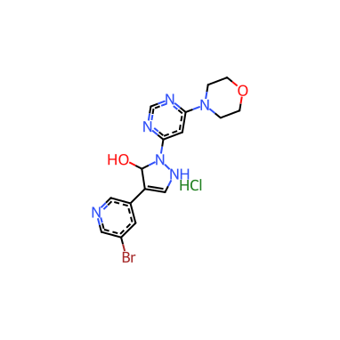 Cl.OC1C(c2cncc(Br)c2)=CNN1c1cc(N2CCOCC2)ncn1